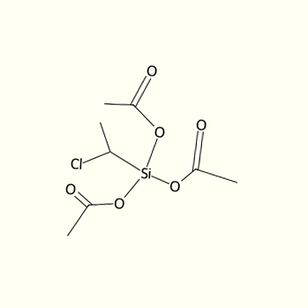 CC(=O)O[Si](OC(C)=O)(OC(C)=O)C(C)Cl